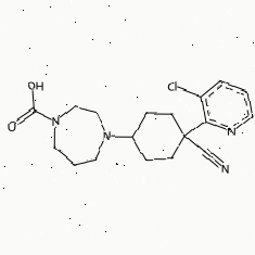 N#CC1(c2ncccc2Cl)CCC(N2CCCN(C(=O)O)CC2)CC1